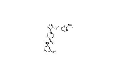 CC(C)c1cccc(NC(=O)N2CCN(c3nsnc3OCc3ccnc(N)n3)CC2)c1